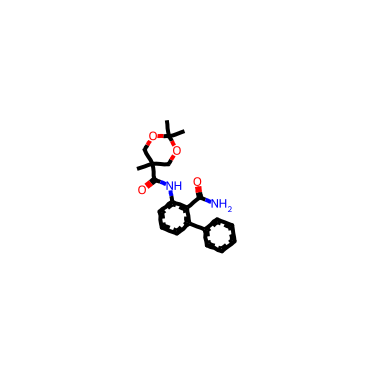 CC1(C)OCC(C)(C(=O)Nc2cccc(-c3ccccc3)c2C(N)=O)CO1